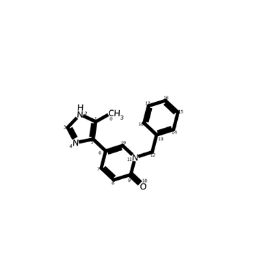 Cc1[nH]cnc1-c1ccc(=O)n(Cc2ccccc2)c1